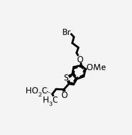 COc1cc2cc(C(=O)C[C@H](C)C(=O)O)sc2cc1OCCCCBr